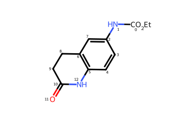 CCOC(=O)Nc1ccc2c(c1)CCC(=O)N2